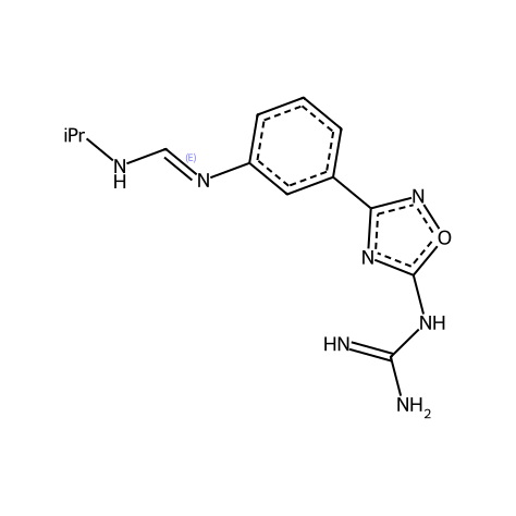 CC(C)N/C=N/c1cccc(-c2noc(NC(=N)N)n2)c1